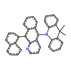 CC1(C)c2ccccc2N(c2c3ccccc3c(-c3cccc4ccccc34)c3ncccc23)c2ccccc21